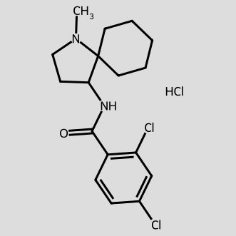 CN1CCC(NC(=O)c2ccc(Cl)cc2Cl)C12CCCCC2.Cl